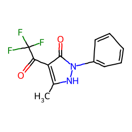 Cc1[nH]n(-c2ccccc2)c(=O)c1C(=O)C(F)(F)F